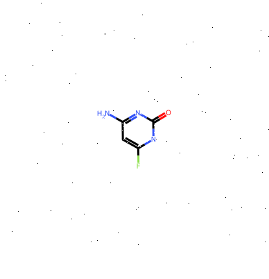 NC1=NC(=O)[N]C(F)=C1